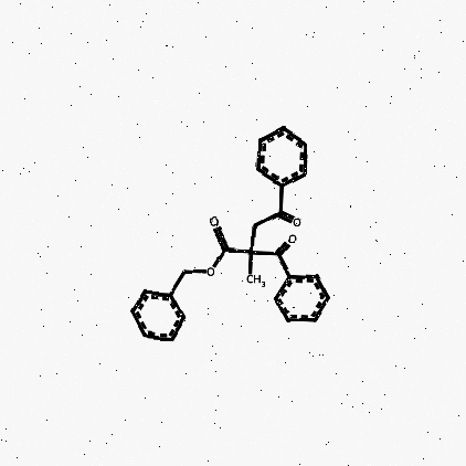 CC(CC(=O)c1ccccc1)(C(=O)OCc1ccccc1)C(=O)c1ccccc1